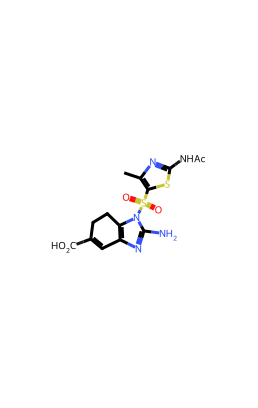 CC(=O)Nc1nc(C)c(S(=O)(=O)n2c(N)nc3c2CCC(C(=O)O)=C3)s1